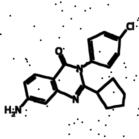 Nc1ccc2c(=O)n(-c3ccc(Cl)cc3)c(C3CCCC3)nc2c1